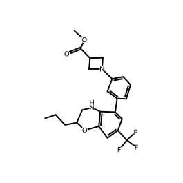 CCCC1CNc2c(cc(C(F)(F)F)cc2-c2cccc(N3CC(C(=O)OC)C3)c2)O1